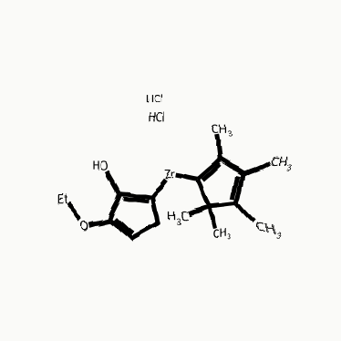 CCOC1=CC[C]([Zr][C]2=C(C)C(C)=C(C)C2(C)C)=C1O.Cl.Cl